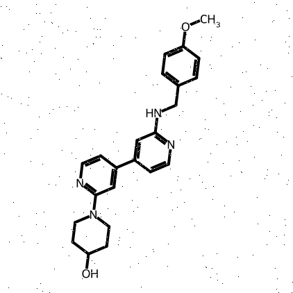 COc1ccc(CNc2cc(-c3ccnc(N4CCC(O)CC4)c3)ccn2)cc1